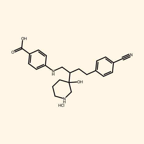 Cl.N#Cc1ccc(CCC(CNc2ccc(C(=O)O)cc2)C2(O)CCCNC2)cc1